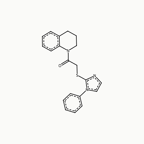 O=C(CSc1nccn1-c1ccccc1)N1CCCc2ccccc21